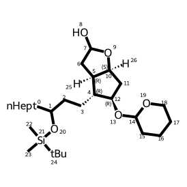 CCCCCCCC(CC[C@@H]1[C@H]2CC(O)O[C@H]2C[C@H]1OC1CCCCO1)O[Si](C)(C)C(C)(C)C